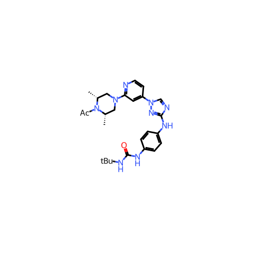 CC(=O)N1[C@H](C)CN(c2cc(-n3cnc(Nc4ccc(NC(=O)NC(C)(C)C)cc4)n3)ccn2)C[C@@H]1C